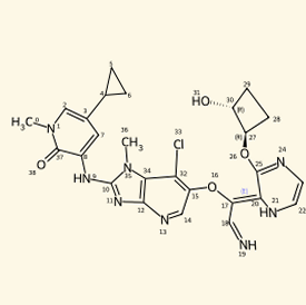 Cn1cc(C2CC2)cc(Nc2nc3ncc(O/C(C=N)=C4/NC=CN=C4O[C@@H]4CC[C@H]4O)c(Cl)c3n2C)c1=O